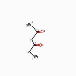 CCCCC(=O)CC(=O)CC(C)C